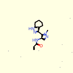 C=CC(=O)Nc1cnn(C)c1-c1n[nH]c2c1CCCC2